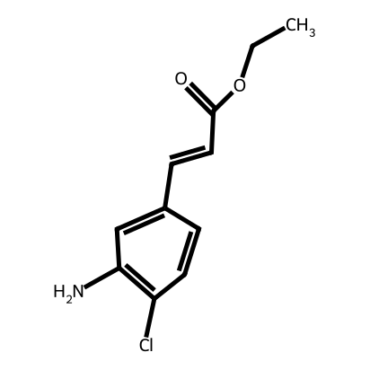 CCOC(=O)C=Cc1ccc(Cl)c(N)c1